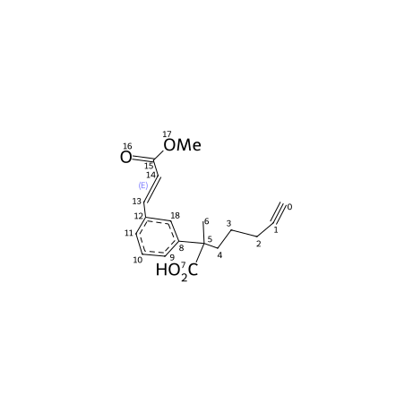 C#CCCCC(C)(C(=O)O)c1cccc(/C=C/C(=O)OC)c1